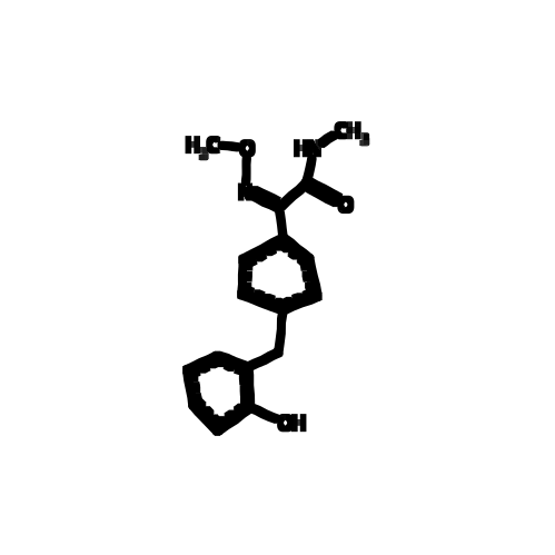 CNC(=O)C(=NOC)c1ccc(Cc2ccccc2O)cc1